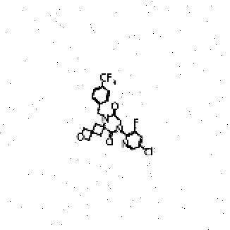 O=C1CN(c2ncc(Cl)cc2F)C(=O)C2(CC3(COC3)C2)N1Cc1ccc(C(F)(F)F)cc1